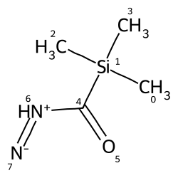 C[Si](C)(C)C(=O)[NH+]=[N-]